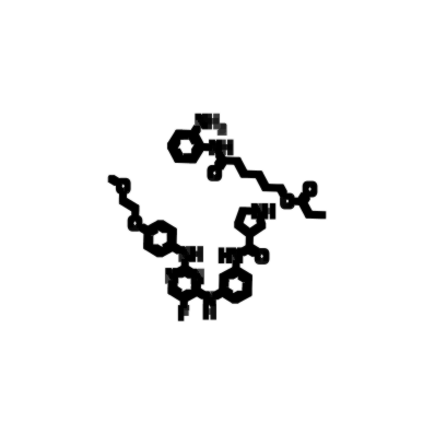 CCC(=O)OCCCCCC(=O)Nc1ccccc1N.COCCOc1ccc(Nc2ncc(F)c(Nc3cccc(NC(=O)C4CCNC4)c3)n2)cc1